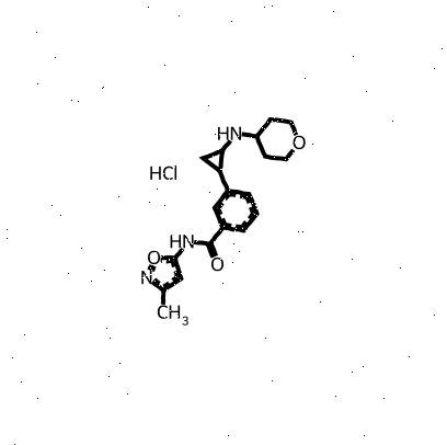 Cc1cc(NC(=O)c2cccc(C3CC3NC3CCOCC3)c2)on1.Cl